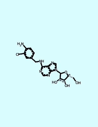 Nc1ccc(CNc2ncnc3c2ncn3C2O[C@H](CO)[C@@H](O)[C@H]2O)cc1Cl